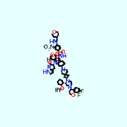 CC(C)Oc1ccccc1[C@H]1CN([C@H]2CCOc3c2ccc(F)c3F)CCN1C1CC2(CCN(c3ccc(C(=O)NS(=O)(=O)c4ccc(NCC5CCOCC5)c([N+](=O)[O-])c4)c(N4c5cc6cc[nH]c6nc5O[C@H]5COCC[C@@H]54)c3)CC2)C1